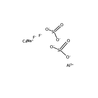 O=[Si]([O-])[O-].O=[Si]([O-])[O-].[Al+3].[Ca+2].[F-].[F-].[Na+]